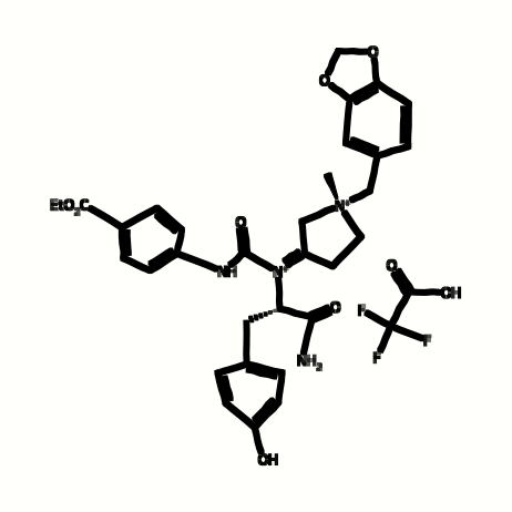 CCOC(=O)c1ccc(NC(=O)/[N+](=C2/CC[N@@+](C)(Cc3ccc4c(c3)OCO4)C2)[C@@H](Cc2ccc(O)cc2)C(N)=O)cc1.O=C(O)C(F)(F)F